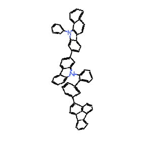 c1ccc(-n2c3cc(-c4ccc5c6ccccc6n(-c6ccccc6-c6cccc(-c7ccc8c9c(cccc79)-c7ccccc7-8)c6)c5c4)ccc3c3ccc4ccccc4c32)cc1